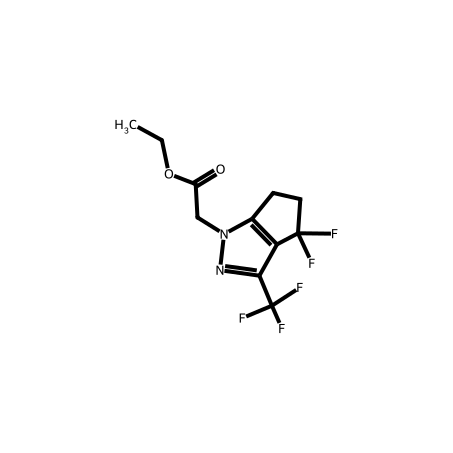 CCOC(=O)Cn1nc(C(F)(F)F)c2c1CCC2(F)F